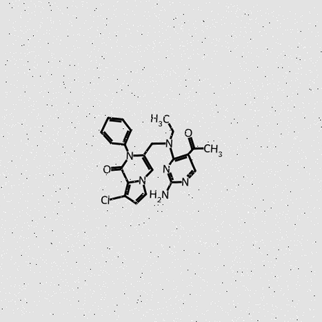 CCN(Cc1cn2ccc(Cl)c2c(=O)n1-c1ccccc1)c1nc(N)ncc1C(C)=O